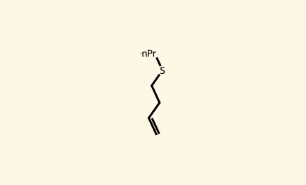 C=CCCS[CH]CC